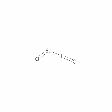 [O]=[Ti][Sb]=[O]